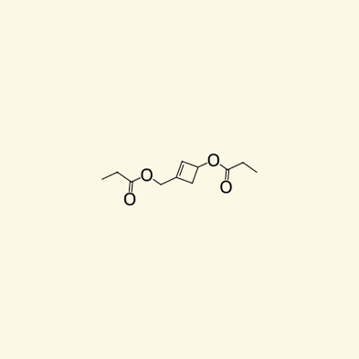 CCC(=O)OCC1=CC(OC(=O)CC)C1